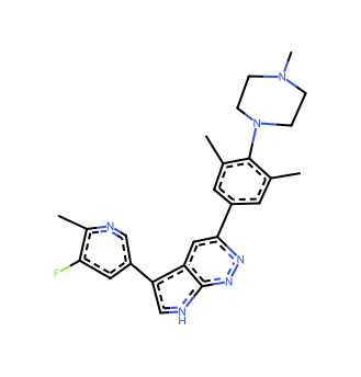 Cc1cc(-c2cc3c(-c4cnc(C)c(F)c4)c[nH]c3nn2)cc(C)c1N1CCN(C)CC1